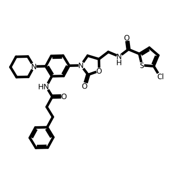 O=C(CCc1ccccc1)Nc1cc(N2CC(CNC(=O)c3ccc(Cl)s3)OC2=O)ccc1N1CCCCC1